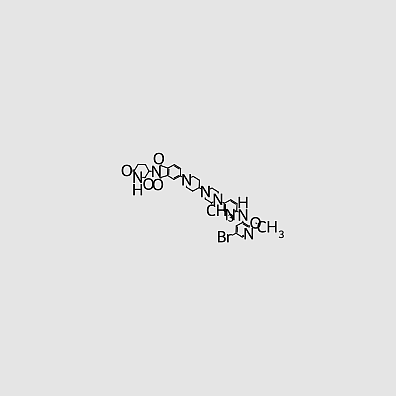 COc1ncc(Br)cc1Nc1ccc(N2CCN(C3CCN(c4ccc5c(c4)C(=O)N(C4CCC(=O)NC4=O)C5=O)CC3)CC2C)cn1